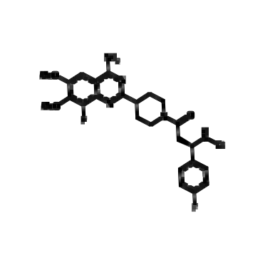 CCN[C@H](CC(=O)N1CCC(c2nc(N)c3cc(OC)c(OC)c(F)c3n2)CC1)c1ccc(F)cc1